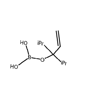 C=CC(OB(O)O)(C(C)C)C(C)C